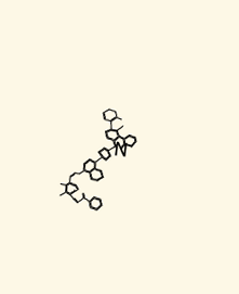 C=C(/C=C\c1ccc(/C=C\Cc2ccc(-c3ccc(-c4nc5ccccc5c5c(C)c(C6=C(C)CCC=C6)ccc45)cc3)c3ccccc23)c(C)c1C)c1ccccc1